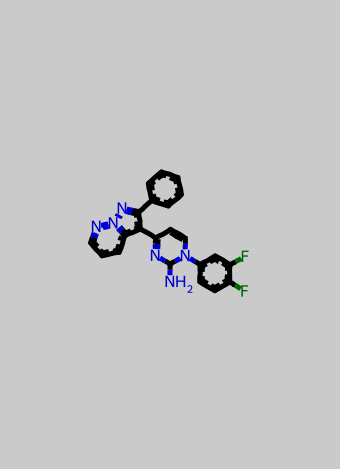 NC1N=C(c2c(-c3ccccc3)nn3ncccc23)C=CN1c1ccc(F)c(F)c1